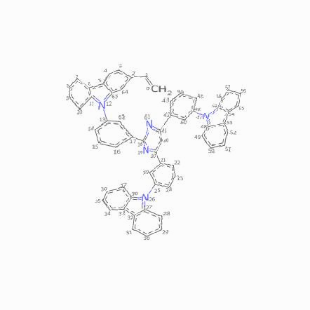 C=Cc1ccc2c3ccccc3n(-c3cccc(-c4nc(-c5cccc(-n6c7ccccc7c7ccccc76)c5)cc(-c5cccc(-n6c7ccccc7c7ccccc76)c5)n4)c3)c2c1